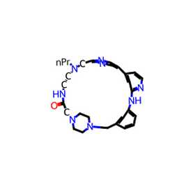 CCCN1CCNC(=O)CN2CCN(CC2)Cc2cccc(c2)Nc2cc(ccn2)-c2cnc(nc2)C1